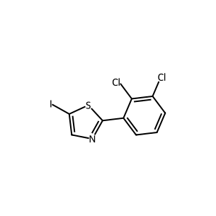 Clc1cccc(-c2ncc(I)s2)c1Cl